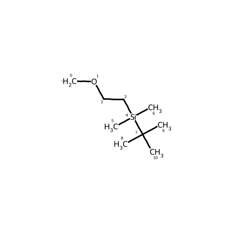 [CH2]OCC[Si](C)(C)C(C)(C)C